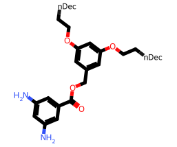 CCCCCCCCCCCCOc1cc(COC(=O)c2cc(N)cc(N)c2)cc(OCCCCCCCCCCCC)c1